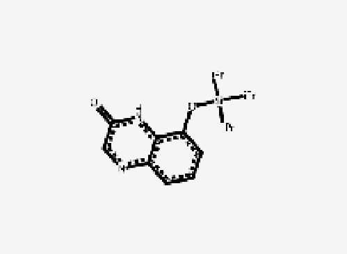 CC(C)[Si](Oc1cccc2ncc(=O)[nH]c12)(C(C)C)C(C)C